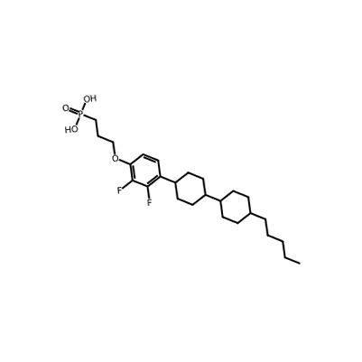 CCCCCC1CCC(C2CCC(c3ccc(OCCCP(=O)(O)O)c(F)c3F)CC2)CC1